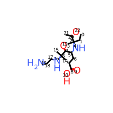 CCC(C)(NC(CCC(=O)O)C(=O)C(C)(C)NCCN)C(C)=O